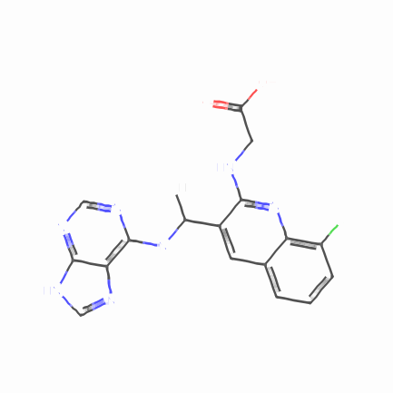 CC(Nc1ncnc2[nH]cnc12)c1cc2cccc(Cl)c2nc1NCC(=O)O